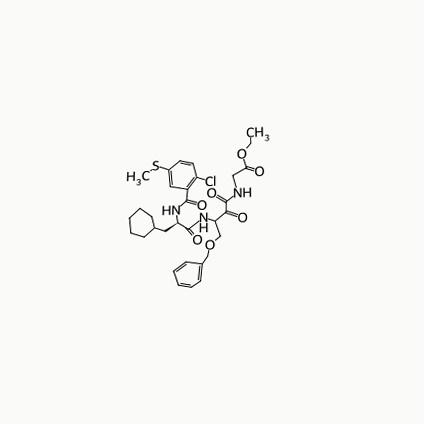 CCOC(=O)CNC(=O)C(=O)C(COCc1ccccc1)NC(=O)[C@@H](CC1CCCCC1)NC(=O)c1cc(SC)ccc1Cl